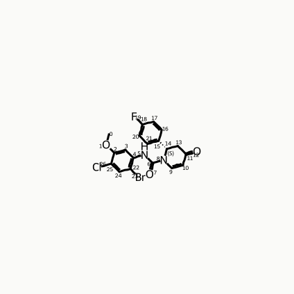 COc1cc(NC(=O)N2C=CC(=O)C[C@H]2c2ccc(F)cc2)c(Br)cc1Cl